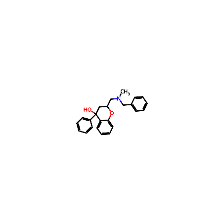 CN(Cc1ccccc1)CC1CC(O)(c2ccccc2)c2ccccc2O1